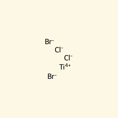 [Br-].[Br-].[Cl-].[Cl-].[Ti+4]